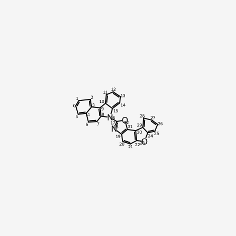 c1ccc2c(c1)ccc1c2c2ccccc2n1-c1nc2ccc3oc4ccccc4c3c2o1